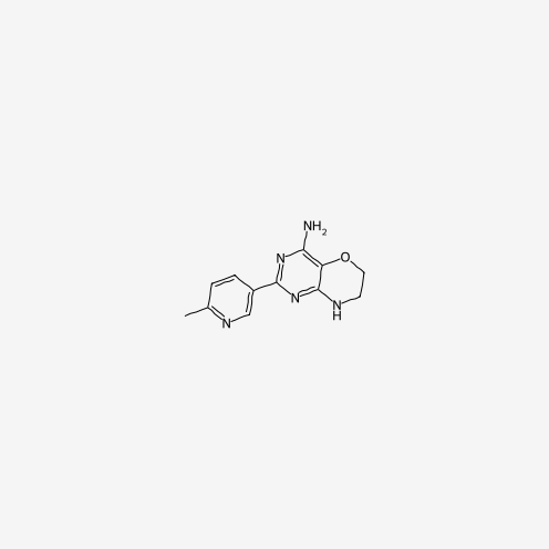 Cc1ccc(-c2nc(N)c3c(n2)NCCO3)cn1